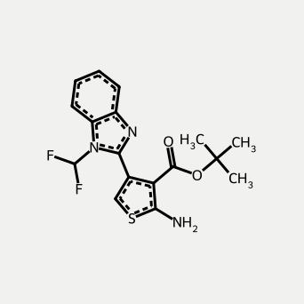 CC(C)(C)OC(=O)c1c(-c2nc3ccccc3n2C(F)F)csc1N